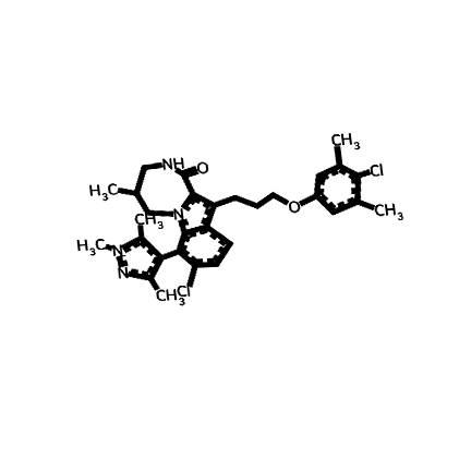 Cc1cc(OCCCc2c3n(c4c(-c5c(C)nn(C)c5C)c(Cl)ccc24)CC(C)CNC3=O)cc(C)c1Cl